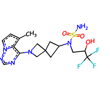 Cc1ccn2ncnc(N3CC4(CC(N(CC(O)C(F)(F)F)S(N)(=O)=O)C4)C3)c12